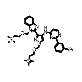 CC(C)c1cccc(-c2nccc(Nc3cn(COCC[Si](C)(C)C)nc3-c3nc4ccccc4n3COCC[Si](C)(C)C)n2)c1